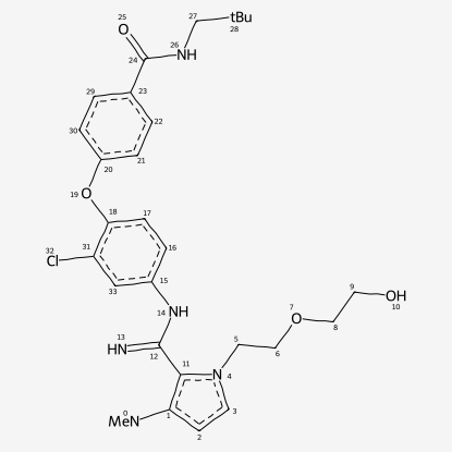 CNc1ccn(CCOCCO)c1C(=N)Nc1ccc(Oc2ccc(C(=O)NCC(C)(C)C)cc2)c(Cl)c1